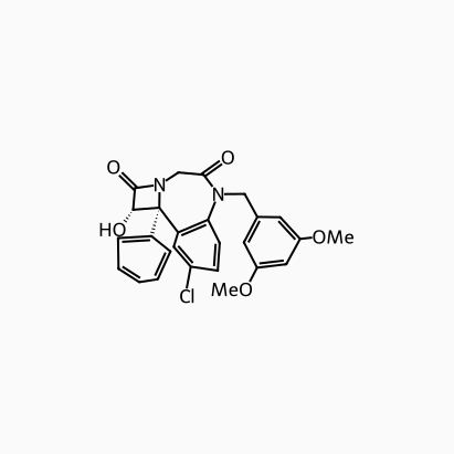 COc1cc(CN2C(=O)CN3C(=O)[C@@H](O)[C@]3(c3ccccc3)c3cc(Cl)ccc32)cc(OC)c1